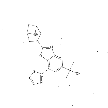 CC(C)(O)c1cc(-c2nccs2)c2oc(N3CC4CC(C3)N4)nc2c1